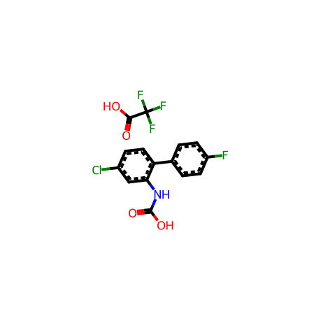 O=C(O)C(F)(F)F.O=C(O)Nc1cc(Cl)ccc1-c1ccc(F)cc1